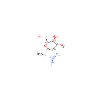 CS[C@@H]1OC(CO)[C@@H](O)C(O)[C@@H]1N=[N+]=[N-]